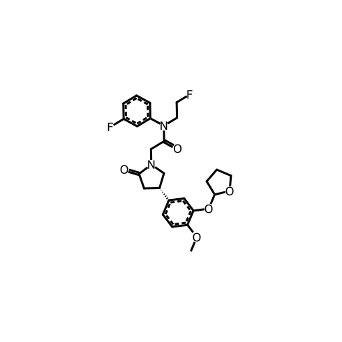 COc1ccc([C@@H]2CC(=O)N(CC(=O)N(CCF)c3cccc(F)c3)C2)cc1OC1CCCO1